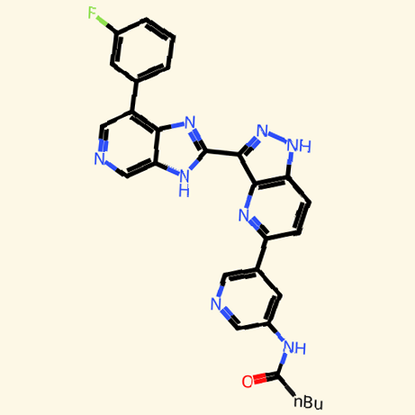 CCCCC(=O)Nc1cncc(-c2ccc3[nH]nc(-c4nc5c(-c6cccc(F)c6)cncc5[nH]4)c3n2)c1